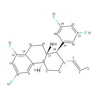 C/C=C/[C@@H]1CC[C@H]2c3cc(F)cc(F)c3CC[C@@H]2[C@H]1c1cc(F)cc(F)c1